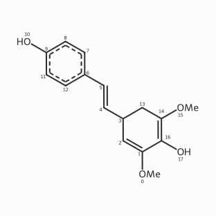 COC1=CC(C=Cc2ccc(O)cc2)CC(OC)=C1O